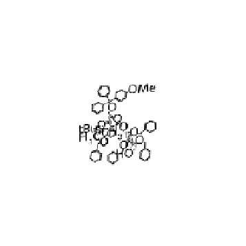 COc1ccc(C(OC[C@H]2O[C@@H](OC[C@H](OCc3ccccc3)[C@H](OCc3ccccc3)[C@@H](CO)OCc3ccccc3)[C@H](OCOCc3ccccc3)[C@@H]2O[Si](C)(C)C(C)(C)C)(c2ccccc2)c2ccccc2)cc1